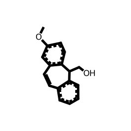 COc1ccc2c(c1)C=Cc1ccccc1C2CO